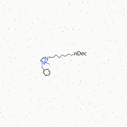 CCCCCCCCCCCCCCCCCC[n+]1ccn(Cc2ccccc2)c1C